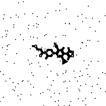 COCCC(=O)N1CCN(c2nc(C3CC3)c(-c3c(C)noc3C)c(C)c2C#N)CC1C